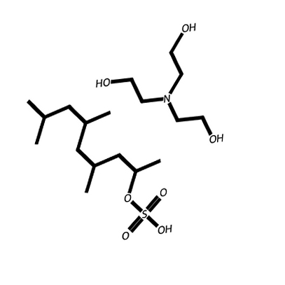 CC(C)CC(C)CC(C)CC(C)OS(=O)(=O)O.OCCN(CCO)CCO